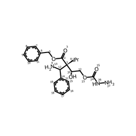 CC(C)[C@](C(=O)OCc1ccccc1)(C(N)c1ccccc1)[C@H](O)COC(=O)NN